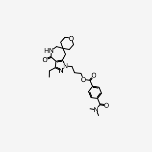 CCc1nn(CCCOC(=O)c2ccc(C(=O)N(C)C)cc2)c2c1C(=O)NCC1(CCOCC1)C2